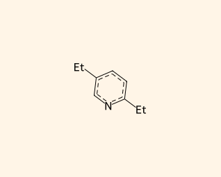 [CH2]Cc1ccc(CC)nc1